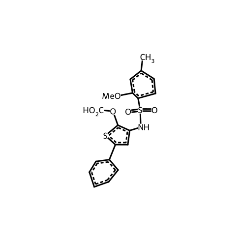 COc1cc(C)ccc1S(=O)(=O)Nc1cc(-c2ccccc2)sc1OC(=O)O